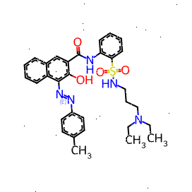 CCN(CC)CCCNS(=O)(=O)c1ccccc1NC(=O)c1cc2ccccc2c(/N=N/c2ccc(C)cc2)c1O